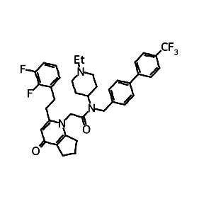 CCN1CCC(N(Cc2ccc(-c3ccc(C(F)(F)F)cc3)cc2)C(=O)Cn2c(CCc3cccc(F)c3F)cc(=O)c3c2CCC3)CC1